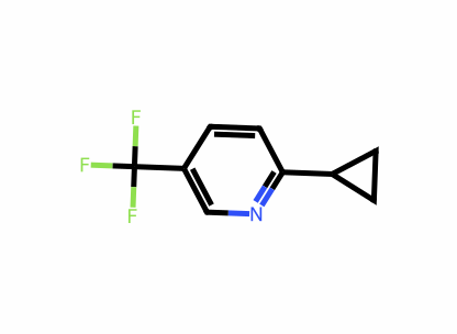 FC(F)(F)c1ccc(C2CC2)nc1